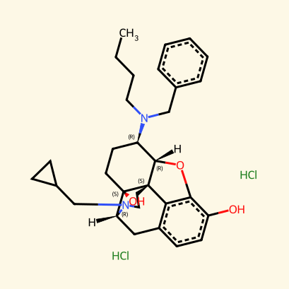 CCCCN(Cc1ccccc1)[C@@H]1CC[C@@]2(O)[C@H]3Cc4ccc(O)c5c4[C@@]2(CCN3CC2CC2)[C@H]1O5.Cl.Cl